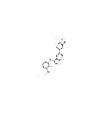 NC(=O)c1ccc(F)c(C(=O)c2c[nH]c3ncc(-c4cnc5[nH]ncc5c4)cc23)c1F